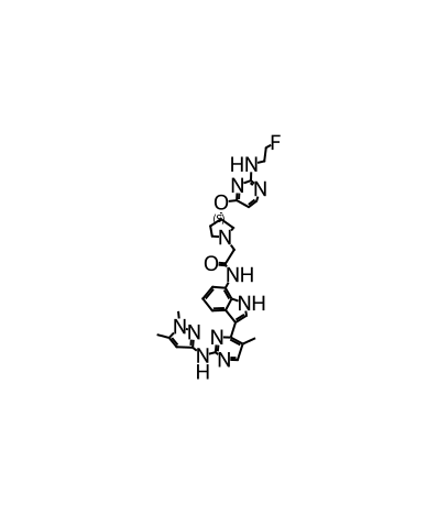 Cc1cnc(Nc2cc(C)n(C)n2)nc1-c1c[nH]c2c(NC(=O)CN3CC[C@H](Oc4ccnc(NCCF)n4)C3)cccc12